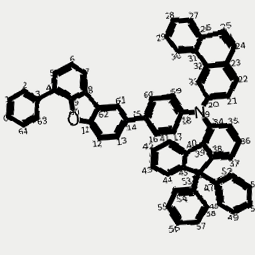 c1ccc(-c2cccc3c2oc2ccc(-c4ccc(N(c5ccc6ccc7ccccc7c6c5)c5cccc6c5-c5ccccc5C6(c5ccccc5)c5ccccc5)cc4)cc23)cc1